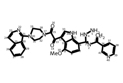 C=C(/N=C(\NN)c1ccc(OC)c2c(C(=O)C(=O)N3CCN(c4nccc5ccccc45)CC3)c[nH]c12)c1cccnc1